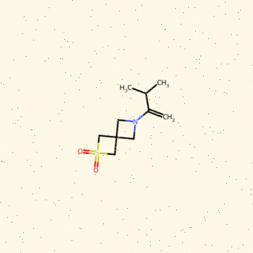 C=C(C(C)C)N1CC2(C1)CS(=O)(=O)C2